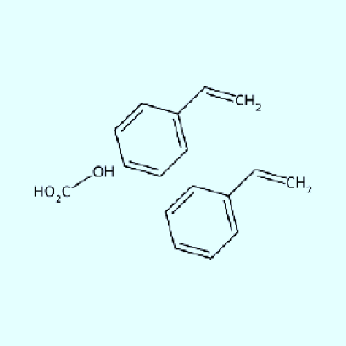 C=Cc1ccccc1.C=Cc1ccccc1.O=C(O)O